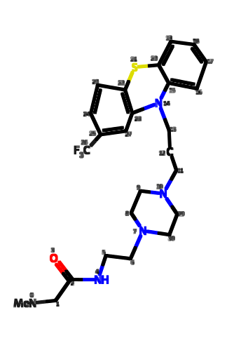 CNCC(=O)NCCN1CCN(CCCN2c3ccccc3Sc3ccc(C(F)(F)F)cc32)CC1